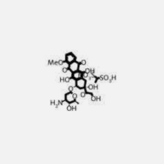 CC(S(=O)(=O)O)S(=O)(=O)O.COc1cccc2c1C(=O)c1c(O)c3c(c(O)c1C2=O)C[C@@](O)(C(=O)CO)C[C@@H]3O[C@H]1C[C@H](N)[C@@H](O)[C@H](C)O1